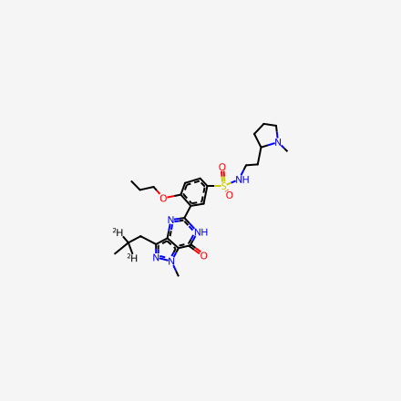 [2H]C([2H])(C)Cc1nn(C)c2c(=O)[nH]c(-c3cc(S(=O)(=O)NCCC4CCCN4C)ccc3OCCC)nc12